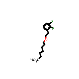 O=C(O)CCCCCCOCCc1cccc(F)c1F